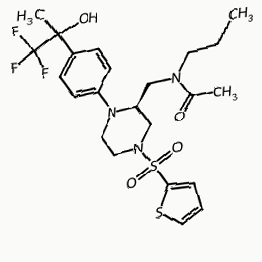 CCCN(C[C@H]1CN(S(=O)(=O)c2cccs2)CCN1c1ccc(C(C)(O)C(F)(F)F)cc1)C(C)=O